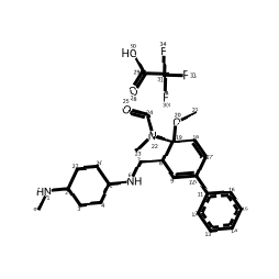 CNC1CCC(NCC2C=C(c3ccccc3)C=CC2(OC)N(C)C=O)CC1.O=C(O)C(F)(F)F